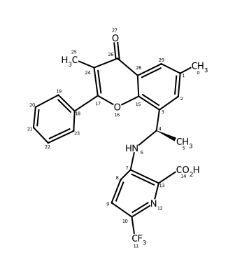 Cc1cc([C@@H](C)Nc2ccc(C(F)(F)F)nc2C(=O)O)c2oc(-c3ccccc3)c(C)c(=O)c2c1